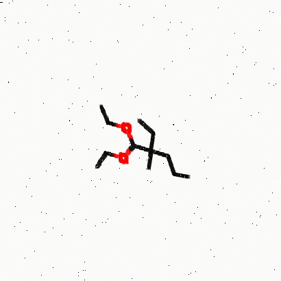 CCCC(C)(CC)C(OCC)OCC